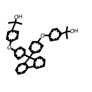 CC(C)(O)c1ccc(Oc2ccc(C3(c4ccc(Oc5ccc(C(C)(C)O)cc5)cc4)c4ccccc4-c4ccccc43)cc2)cc1